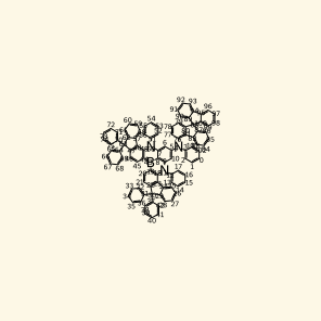 c1ccc(N(c2cc3c4c(c2)N(c2ccccc2)c2c(ccc5c2-c2ccccc2C5(c2ccccc2)c2ccccc2)B4c2ccc4c(c2N3c2ccccc2)-c2ccccc2C4(c2ccccc2)c2ccccc2)c2cccc3c2-c2ccccc2C32c3ccccc3-c3ccccc32)cc1